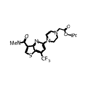 CNC(=O)c1csc2c(C(F)(F)F)cc(N3CCN(CC(=O)OC(C)C)CC3)nc12